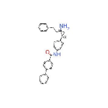 N[C@@]1(CCc2ccccc2)C[C@H]1c1ccc(NC(=O)c2ccc(-c3ccccc3)cc2)cc1